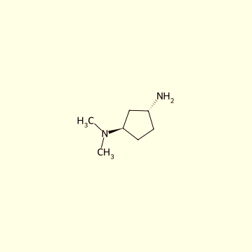 CN(C)[C@@H]1CC[C@@H](N)C1